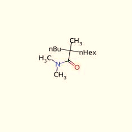 CCCCCCC(C)(CCCC)C(=O)N(C)C